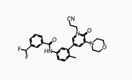 Cc1ccc(NC(=O)c2cccc(C(F)F)c2)cc1-c1cc(N2CCOCC2)c(=O)n(CCC#N)c1